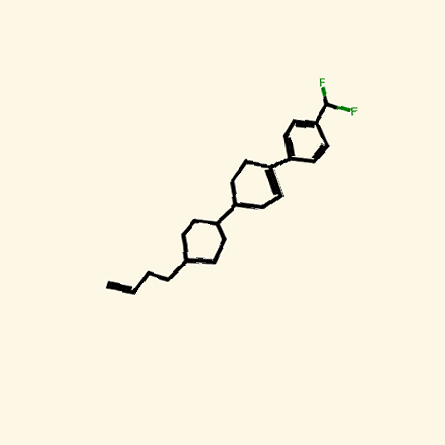 C=CCCC1CCC(C2CC=C(c3ccc(C(F)F)cc3)CC2)CC1